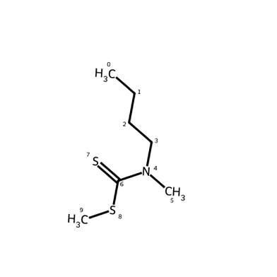 CCCCN(C)C(=S)SC